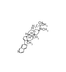 CN([C@@H]1CC[C@@]2(C)[C@@H](CC[C@@H]3[C@@H]2CC[C@]2(C)C(c4ccc5ccncc5c4)=CC[C@@H]32)C1)C(C)(C)C